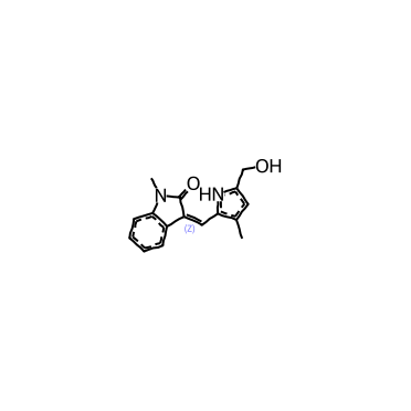 Cc1cc(CO)[nH]c1/C=C1\C(=O)N(C)c2ccccc21